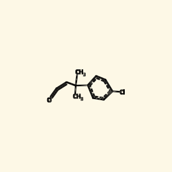 CC(C)(C=C=O)c1ccc(Cl)cc1